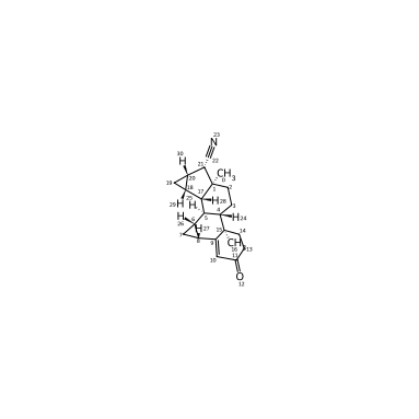 C[C@]12CC[C@H]3[C@@H]([C@H]4C[C@H]4C4=CC(=O)CC[C@@]43C)[C@@H]1[C@@H]1C[C@@H]1[C@@H]2C#N